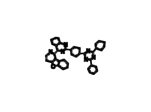 c1ccc(-c2nc(-c3ccccc3)nc(-c3ccc(-c4nc(-c5nccc6oc7ccccc7c56)c5ccccc5n4)cc3)n2)cc1